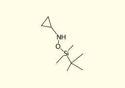 CC(C)(C)[Si](C)(C)ONC1CC1